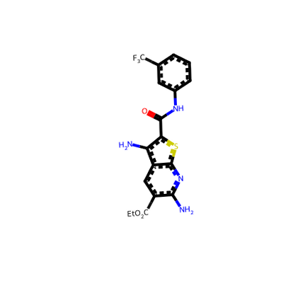 CCOC(=O)c1cc2c(N)c(C(=O)Nc3cccc(C(F)(F)F)c3)sc2nc1N